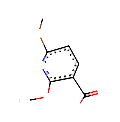 COc1nc(SC)ccc1C(=O)O